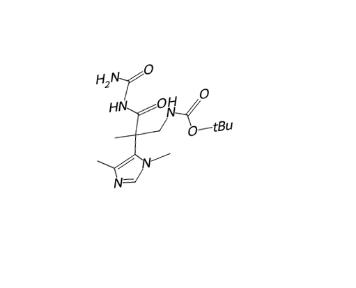 Cc1ncn(C)c1C(C)(CNC(=O)OC(C)(C)C)C(=O)NC(N)=O